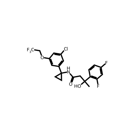 CC(O)(CC(=O)NC1(c2cc(Cl)cc(OCC(F)(F)F)c2)CC1)c1ccc(F)cc1F